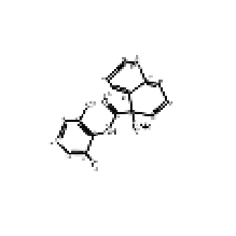 COC1(C(=O)Nc2c(Cl)cncc2Cl)C=CC=C2NC=CC=C21